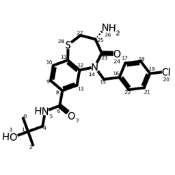 CC(C)(O)CNC(=O)c1ccc2c(c1)N(Cc1ccc(Cl)cc1)C(=O)[C@@H](N)CS2